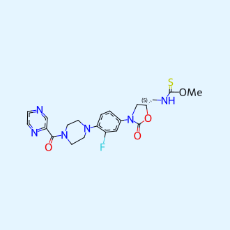 COC(=S)NC[C@H]1CN(c2ccc(N3CCN(C(=O)c4cnccn4)CC3)c(F)c2)C(=O)O1